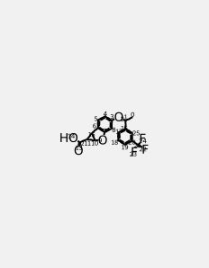 CC(Oc1ccc2c(c1)OC1C(C(=O)O)C21)c1cccc(C(F)(F)F)c1